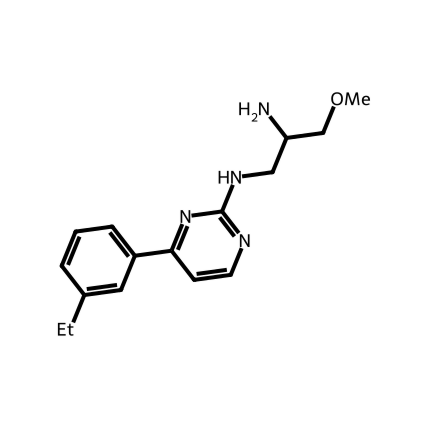 CCc1cccc(-c2ccnc(NCC(N)COC)n2)c1